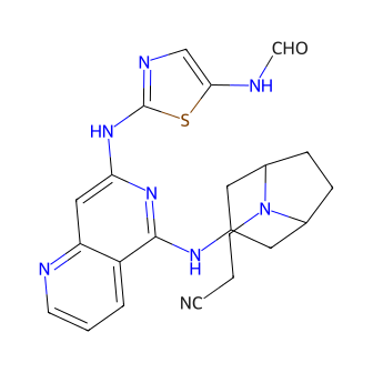 N#CCCN1C2CCC1CC(Nc1nc(Nc3ncc(NC=O)s3)cc3ncccc13)C2